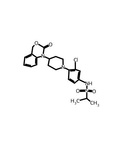 CC(C)S(=O)(=O)Nc1ccc(N2CCC(N3C(=O)OCc4ccccc43)CC2)c(Cl)c1